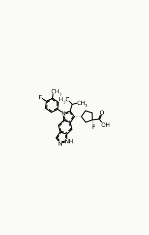 Cc1cc(-n2c(C(C)C)c([C@@H]3CC[C@@](F)(C(=O)O)C3)c3cc4[nH]ncc4cc32)ccc1F